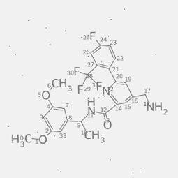 COc1cc(OC)cc(C(C)NC(=O)c2cc(CN)cc(-c3ccc(F)cc3C(F)(F)F)n2)c1